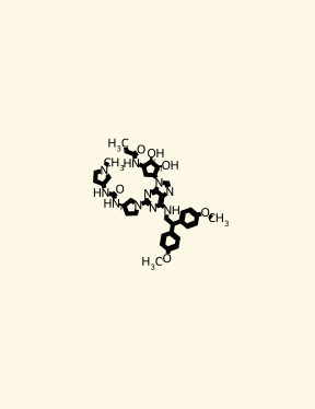 CCC(=O)NC1CC(n2cnc3c(NCC(c4ccc(OC)cc4)c4ccc(OC)cc4)nc(N4CC[C@@H](NC(=O)NC5CCN(C)C5)C4)nc32)[C@H](O)[C@@H]1O